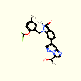 Cc1ccc(OC(F)F)c(Cn2c3cc(-c4cnn5c(C(C)O)cnc5c4)ccc3c(=O)n2C)c1